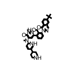 CN(c1cc(-c2cccc(-n3ncc4cc(C(C)(C)C)ccc4c3=O)c2CO)nn(C)c1=O)C1C=CC(C2CCNCC2)=CN1